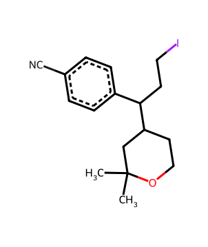 CC1(C)CC(C(CCI)c2ccc(C#N)cc2)CCO1